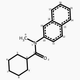 CN(C(=O)C1CCCCC1)c1ccc2ccccc2c1